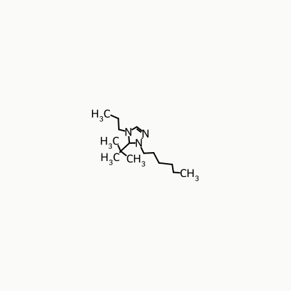 CCCCCCN1N=CN(CCC)C1C(C)(C)C